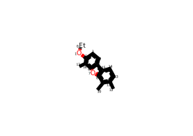 CCOc1ccc2c(oc3c(C)c(C)ccc32)c1C